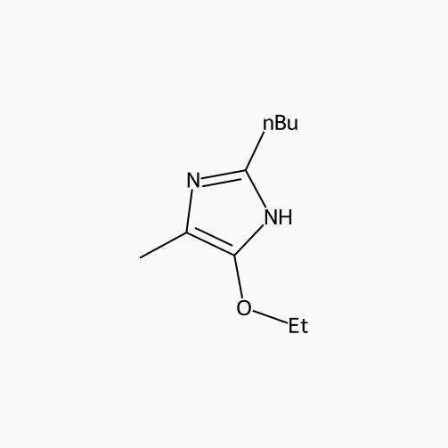 CCCCc1nc(C)c(OCC)[nH]1